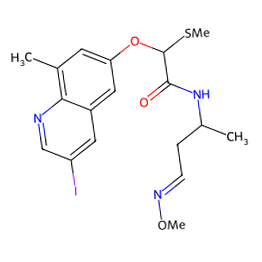 CON=CCC(C)NC(=O)C(Oc1cc(C)c2ncc(I)cc2c1)SC